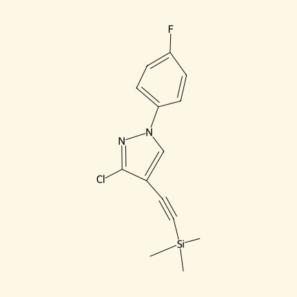 C[Si](C)(C)C#Cc1cn(-c2ccc(F)cc2)nc1Cl